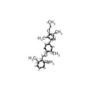 CCOc1c(C)c(-c2ccc(OCc3c(C)cccc3N)c(C)c2)nn1C